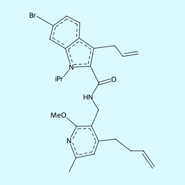 C=CCCc1cc(C)nc(OC)c1CNC(=O)c1c(CC=C)c2ccc(Br)cc2n1C(C)C